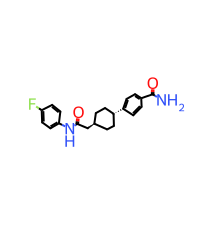 NC(=O)c1ccc([C@H]2CC[C@H](CC(=O)Nc3ccc(F)cc3)CC2)cc1